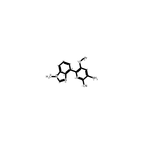 CC(C)Oc1cc(N)c(C#N)nc1-c1cccc2c1ncn2C